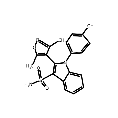 Cc1noc(C)c1-c1c(S(N)(=O)=O)c2ccccc2n1-c1ccc(O)cc1